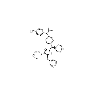 CN(C)C(c1ccc(Cl)cc1)C1CCC(C(c2nc(Cc3ccccc3)c(N3CCOCC3)o2)N2CCOCC2)CC1